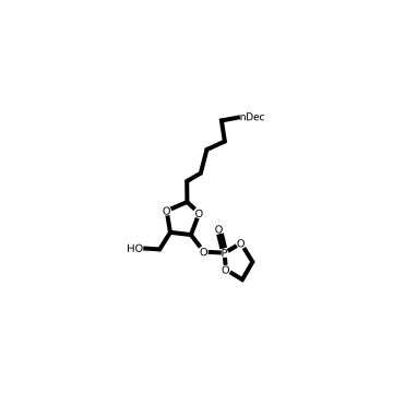 CCCCCCCCCCCCCCCC1OC(CO)C(OP2(=O)OCCO2)O1